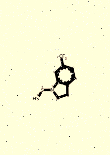 FC(F)(F)c1ccc2c(c1)N(SS)CC2